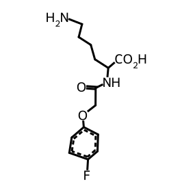 NCCCCC(NC(=O)COc1ccc(F)cc1)C(=O)O